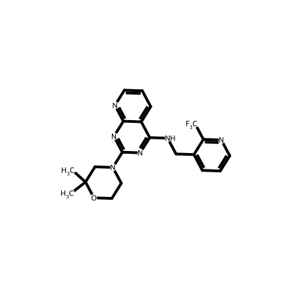 CC1(C)CN(c2nc(NCc3cccnc3C(F)(F)F)c3cccnc3n2)CCO1